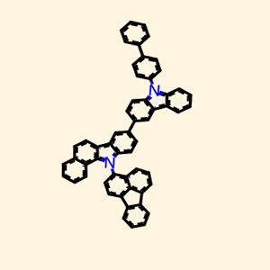 c1ccc(-c2ccc(-n3c4ccccc4c4cc(-c5ccc6c(c5)c5ccc7ccccc7c5n6-c5ccc6c7c(cccc57)-c5ccccc5-6)ccc43)cc2)cc1